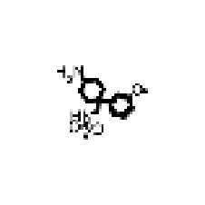 COc1cccc(C2(CNS(C)(=O)=O)CCC(N)CC2)c1